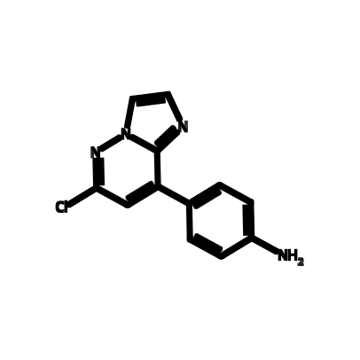 Nc1ccc(-c2cc(Cl)nn3ccnc23)cc1